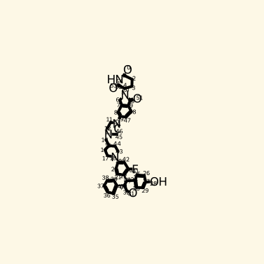 O=C1CC[C@H](N2Cc3cc(N4CCN(CC5CCN(c6ccc([C@H]7c8ccc(O)cc8OC[C@H]7c7ccccc7)c(F)c6)CC5)CC4)ccc3C2=O)C(=O)N1